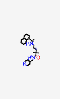 C[C@@H](NC/C=C/C(C)(C)C(=O)NCc1ccncc1)c1cccc2ccccc12